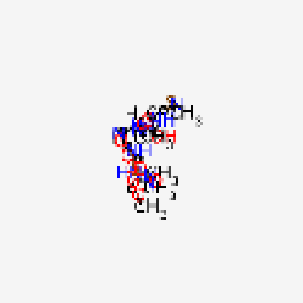 CCCOc1cccc(Oc2cc3c(cc2NS(=O)(=O)c2cccc(C(=O)N[C@H]4C[C@H](Oc5cc(-c6cnn(C(C(=O)N7C[C@H](O)C[C@H]7C(=O)N[C@@H](C)c7ccc(-c8scnc8C)cc7)C(C)C)c6)ccn5)C4)c2)n(C)c(=O)n3C)c1